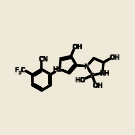 N#Cc1c([SH]2C=C(O)C(N3CC(O)NS3(O)O)=C2)cccc1C(F)(F)F